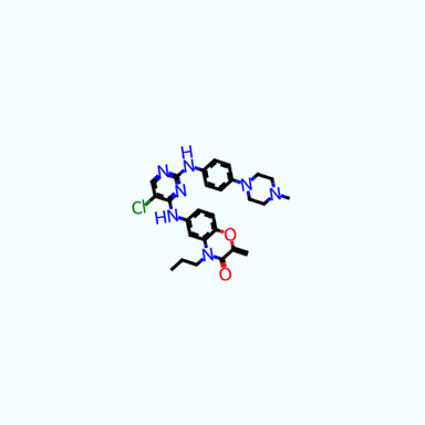 C=C1Oc2ccc(Nc3nc(Nc4ccc(N5CCN(C)CC5)cc4)ncc3Cl)cc2N(CCC)C1=O